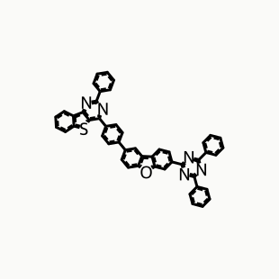 c1ccc(-c2nc(-c3ccccc3)nc(-c3ccc4c(c3)oc3ccc(-c5ccc(-c6nc(-c7ccccc7)nc7c6sc6ccccc67)cc5)cc34)n2)cc1